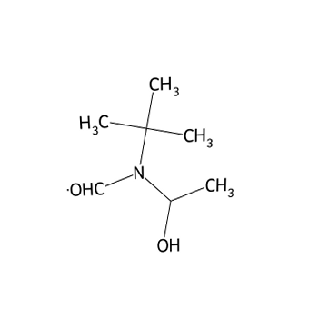 CC(O)N([C]=O)C(C)(C)C